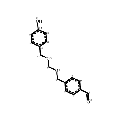 O=Cc1ccc(COCOCc2ccc(O)cc2)cc1